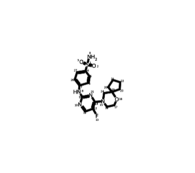 NS(=O)(=O)c1ccc(Nc2ncc(F)c(N3CCOC4(CCCC4)C3)n2)cc1